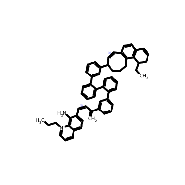 C=C(/C=C\c1ccc2ccc[n+](CCC)c2c1N)c1cccc(-c2ccccc2-c2ccccc2-c2cccc(C3/C=C\c4ccc5c(c4CCC3)C(CC)CC=C5)c2)c1